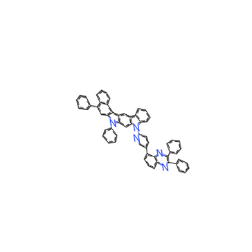 c1ccc(-c2nc3cccc(-c4ccc(-n5c6ccccc6c6cc7c8c9ccccc9c(-c9ccccc9)cc8n(-c8ccccc8)c7cc65)nc4)c3nc2-c2ccccc2)cc1